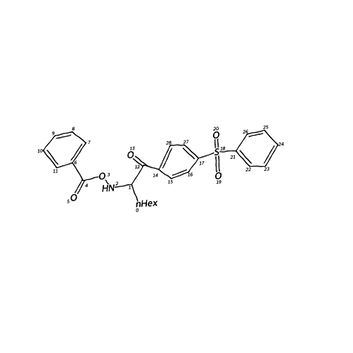 CCCCCCC(NOC(=O)c1ccccc1)C(=O)c1ccc(S(=O)(=O)c2ccccc2)cc1